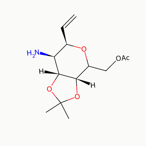 C=C[C@H]1OC(COC(C)=O)[C@@H]2OC(C)(C)O[C@@H]2[C@H]1N